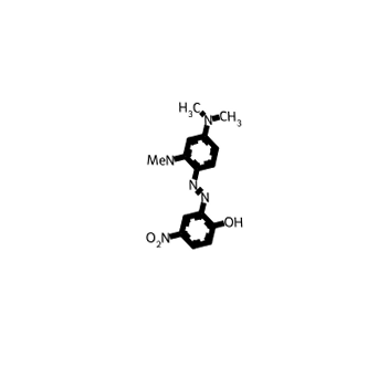 CNc1cc(N(C)C)ccc1N=Nc1cc([N+](=O)[O-])ccc1O